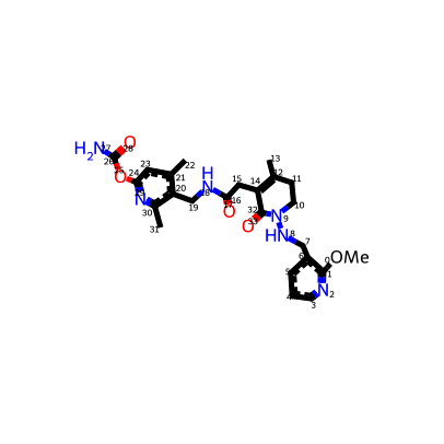 COc1ncccc1CNN1CCC(C)=C(CC(=O)NCc2c(C)cc(OC(N)=O)nc2C)C1=O